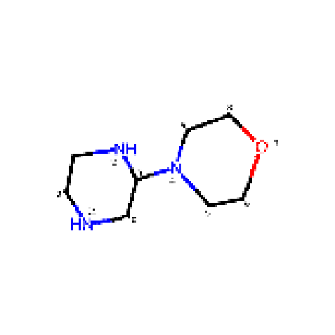 C1CNC(N2CCOCC2)CN1